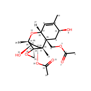 CC(=O)OC[C@]12C[C@H](O)C(C)=C[C@H]1O[C@@H]1[C@H](O)[C@@H](OC(C)=O)[C@@]2(C)[C@]12CO2